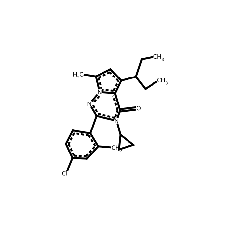 CCC(CC)c1cc(C)n2nc(-c3ccc(Cl)cc3C)n(C3CC3)c(=O)c12